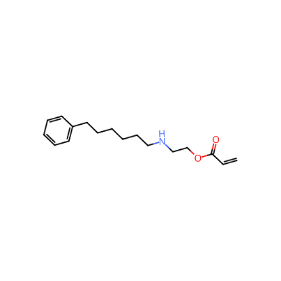 C=CC(=O)OCCNCCCCCCc1ccccc1